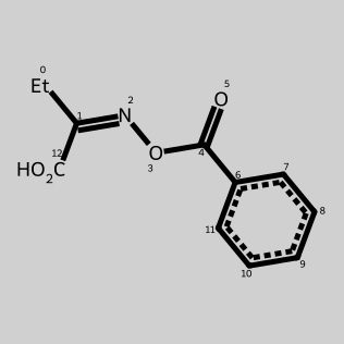 CCC(=NOC(=O)c1ccccc1)C(=O)O